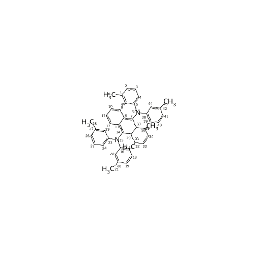 Cc1cccc(N(C2=c3ccccc3=C(N(c3cccc(C)c3)c3cccc(C)c3)C3C(C)C=CC(C)C23)c2cccc(C)c2)c1